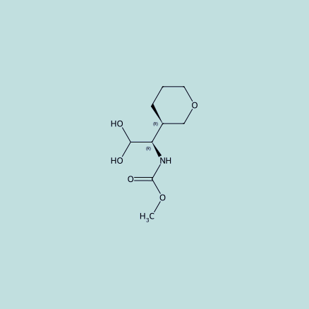 COC(=O)N[C@@H](C(O)O)[C@H]1CCCOC1